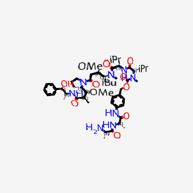 CC[C@H](C)[C@@H]([C@@H](CC(=O)N1CCC[C@H]1[C@H](OC)[C@@H](C)C(=O)N[C@H](C)[C@@H](O)c1ccccc1)OC)N(C)C(=O)[C@@H](NC(=O)[C@H](C(C)C)N(C)C(=O)OCc1ccc(NC(=O)[C@H](C)NC(=O)[C@H](C)N)cc1)C(C)C